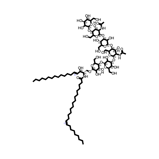 CCCCCCCC/C=C\CCCCCCCCCCCCCC(=O)N[C@@H](CO[C@@H]1OC(CO)[C@@H](O[C@@H]2OC(CO)[C@H](O)[C@H](O[C@@H]3OC(CO)[C@@H](O[C@@H]4OC(CO)[C@H](O)[C@H](O[C@H]5OC(CO)[C@@H](O[C@@H]6OC(CO)[C@H](O)[C@H](O)C6O)[C@H](O)C5NC(C)=O)C4O)[C@H](O)C3NC(C)=O)C2O)[C@H](O)C1O)[C@H](O)/C=C/CCCCCCCCCCCCC